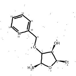 B[C@@H]1O[C@H](CC)[C@H](O)C1OCc1ccccn1